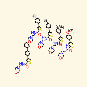 CC(C)c1ccc(-c2csc(C(=O)NCCN3CCOCC3)c2)cc1.CCc1ccc(-c2csc(C(=O)NCCN3CCOCC3)c2)cc1.CSc1ccc(-c2csc(C(=O)NCCN3CCOCC3)c2)cc1.O=C(NCCN1CCOCC1)c1cc(-c2ccc(-c3ccccc3)cc2)cs1.O=C(NCCN1CCOCC1)c1cc(-c2ccc(OC(F)(F)F)cc2)cs1